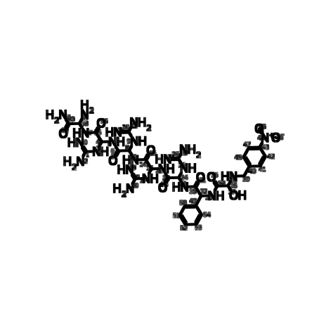 N=C(N)NC(NC(=O)C(NC(=N)N)NC(=O)C(NC(=N)N)NC(=O)C(NC(=N)N)NC(=O)C(NC(=O)C(O)NCc1ccc([N+](=O)[O-])cc1)c1ccccc1)C(=O)NC(N)C(N)=O